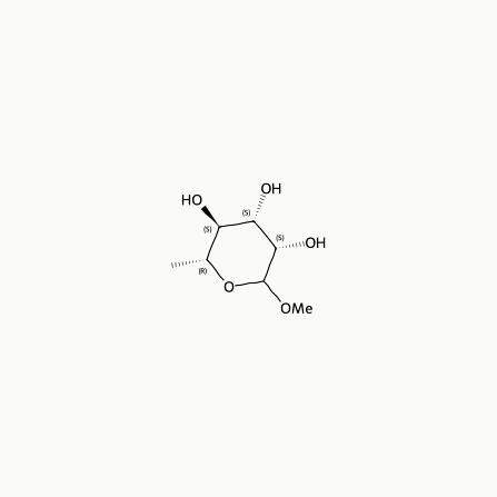 COC1O[C@H](C)[C@@H](O)[C@H](O)[C@@H]1O